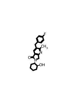 Cc1nc2c(cc1Cc1ccc(F)cc1)C(=O)N([C@H]1CCCC[C@@H]1O)C2